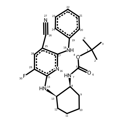 CC(C)(C)OC(=O)N[C@H]1CCCC[C@H]1Nc1nc(Nc2ccccc2)c(C#N)cc1F